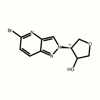 OC1COC[C@@H]1n1cc2nc(Br)ccc2n1